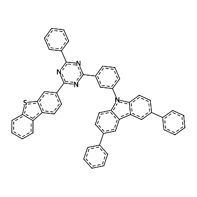 c1ccc(-c2ccc3c(c2)c2cc(-c4ccccc4)ccc2n3-c2cccc(-c3nc(-c4ccccc4)nc(-c4ccc5c(c4)sc4ccccc45)n3)c2)cc1